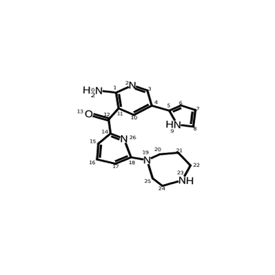 Nc1ncc(-c2ccc[nH]2)cc1C(=O)c1cccc(N2CCCNCC2)n1